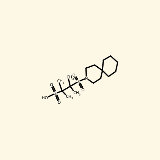 CC(C)(C(C)(C)S(=O)(=O)N1CCC2(CCCCC2)CC1)S(=O)(=O)O